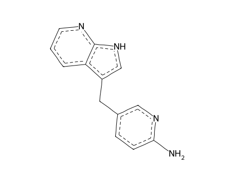 Nc1ccc(Cc2c[nH]c3ncccc23)cn1